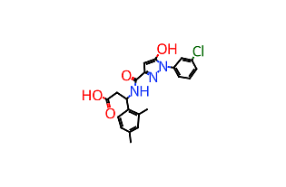 Cc1ccc(C(CC(=O)O)NC(=O)c2cc(O)n(-c3cccc(Cl)c3)n2)c(C)c1